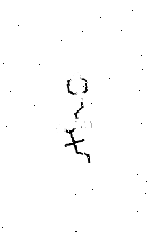 CCCC(C)(C)C(=O)NCCN1CCOCC1